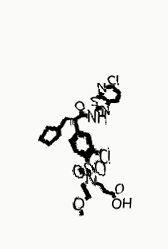 COCCN(CCC(=O)O)S(=O)(=O)c1ccc([C@@H](CC2CCCC2)C(=O)Nc2nc3ccc(Cl)nc3s2)cc1Cl